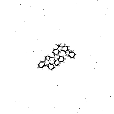 CC1(C)c2ccc(N(C3=CC=C4c5ccccc5-c5ccccc5C43)c3cccc4ccccc34)cc2-c2c1ccc1c2oc2ccccc21